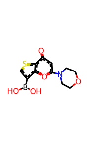 O=c1cc(N2CCOCC2)oc2c(B(O)O)csc12